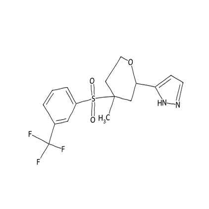 CC1(S(=O)(=O)c2cccc(C(F)(F)F)c2)CCOC(c2ccn[nH]2)C1